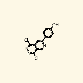 Oc1ccc(-c2cc3c(Cl)nnc(Cl)c3cn2)cc1